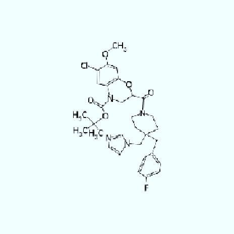 COc1cc2c(cc1Cl)N(C(=O)OC(C)(C)C)CC(C(=O)N1CCC(Cc3ccc(F)cc3)(Cn3ccnc3)CC1)O2